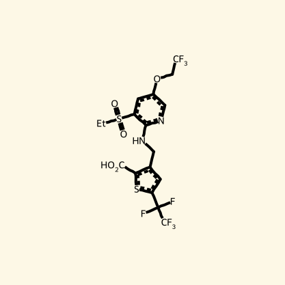 CCS(=O)(=O)c1cc(OCC(F)(F)F)cnc1NCc1cc(C(F)(F)C(F)(F)F)sc1C(=O)O